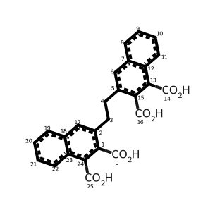 O=C(O)c1c(CCc2cc3ccccc3c(C(=O)O)c2C(=O)O)cc2ccccc2c1C(=O)O